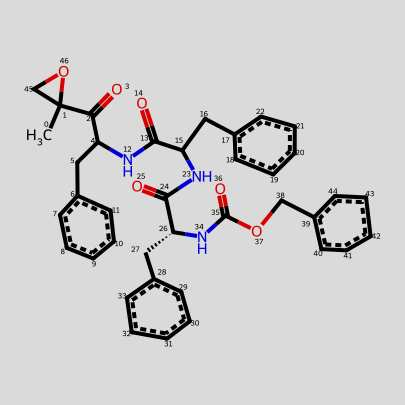 CC1(C(=O)C(Cc2ccccc2)NC(=O)C(Cc2ccccc2)NC(=O)[C@@H](Cc2ccccc2)NC(=O)OCc2ccccc2)CO1